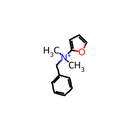 C[N+](C)(Cc1ccccc1)c1ccco1